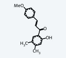 COc1ccc(/C=C/C(=O)c2cc(C)c(C)cc2O)cc1